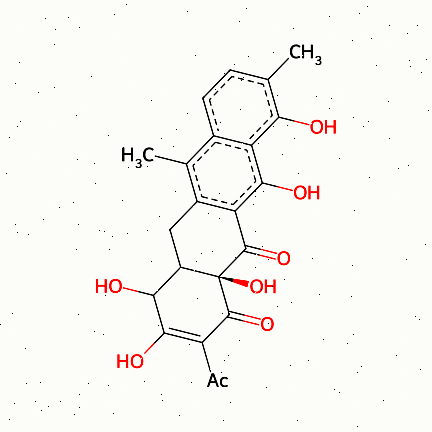 CC(=O)C1=C(O)C(O)C2Cc3c(c(O)c4c(O)c(C)ccc4c3C)C(=O)[C@]2(O)C1=O